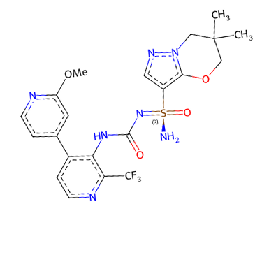 COc1cc(-c2ccnc(C(F)(F)F)c2NC(=O)N=[S@@](N)(=O)c2cnn3c2OCC(C)(C)C3)ccn1